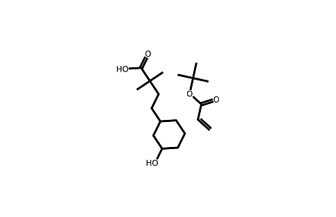 C=CC(=O)OC(C)(C)C.CC(C)(CCC1CCCC(O)C1)C(=O)O